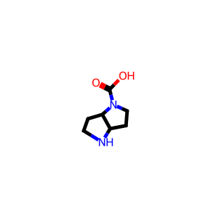 O=C(O)N1CCC2NCCC21